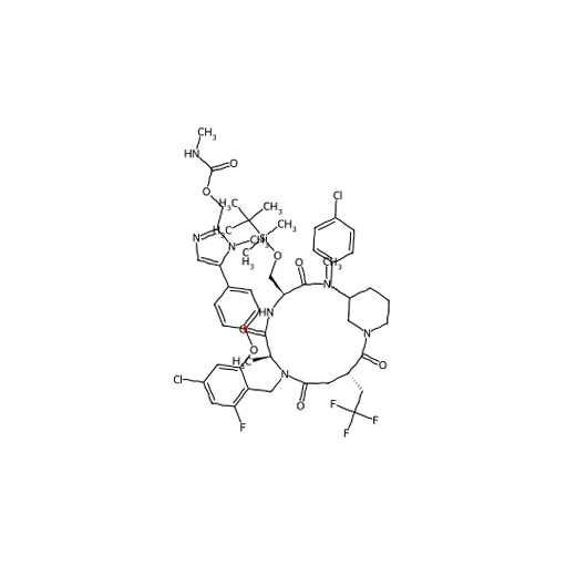 CNC(=O)OCc1ncc(-c2ccc(Oc3cc(Cl)cc(F)c3CN3C(=O)C[C@@H](CC(F)(F)F)C(=O)N4CCC[C@@](Cc5ccc(Cl)cc5)(C4)N(C)C(=O)[C@H](CO[Si](C)(C)C(C)(C)C)NC(=O)[C@@H]3C)cc2)n1C